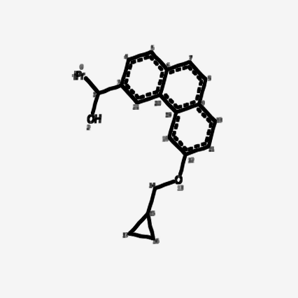 C[C](C)C(O)c1ccc2ccc3ccc(OCC4CC4)cc3c2c1